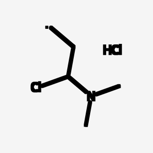 Cl.[CH2]CC(Cl)N(C)C